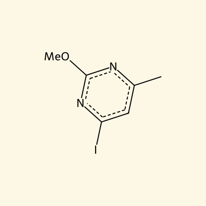 COc1nc(C)cc(I)n1